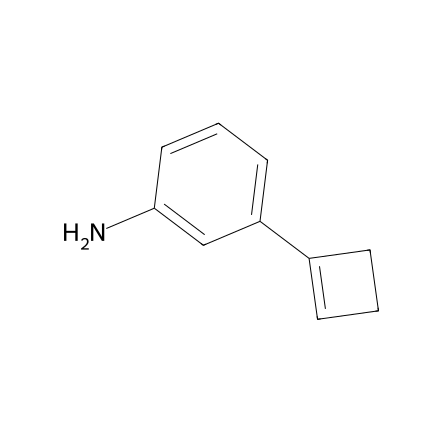 Nc1cccc(C2=CCC2)c1